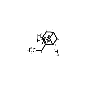 [CH2]CC1=CCC2C[C@@H]1C2(C)C